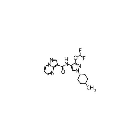 C[C@H]1CC[C@H](n2cc(NC(=O)c3cnn4cccnc34)c(OC(F)F)n2)CC1